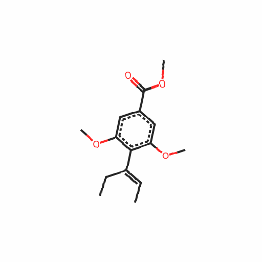 CC=C(CC)c1c(OC)cc(C(=O)OC)cc1OC